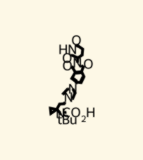 CC(C)(C)N(C(=O)O)C1(CCN2CCN(c3ccc4c(c3)C(=O)N(C3CCC(=O)NC3=O)C4=O)CC2)CC1